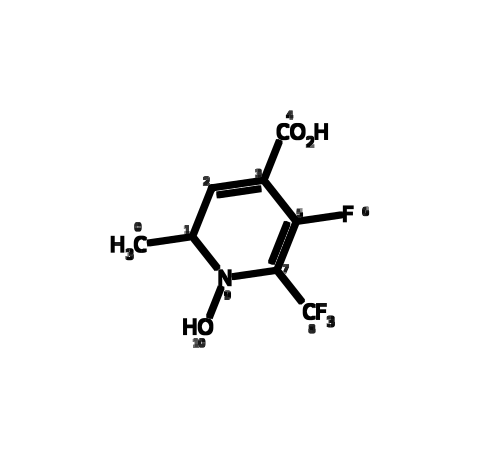 CC1C=C(C(=O)O)C(F)=C(C(F)(F)F)N1O